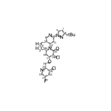 Cc1cnc(-n2ccc(C(C)(C)C)n2)cc1-n1c(C)cc(OCc2ncc(F)cc2Cl)c(Cl)c1=O